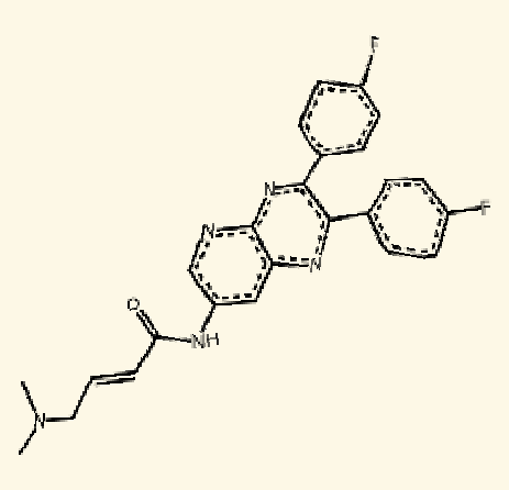 CN(C)C/C=C/C(=O)Nc1cnc2nc(-c3ccc(F)cc3)c(-c3ccc(F)cc3)nc2c1